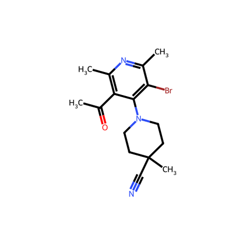 CC(=O)c1c(C)nc(C)c(Br)c1N1CCC(C)(C#N)CC1